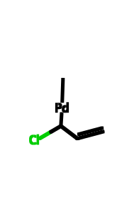 C=C[CH](Cl)[Pd][CH3]